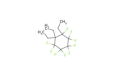 CCC1(F)C(F)(F)C(F)(F)C(F)(F)C(F)(F)C1(CC)CC